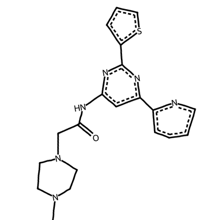 CN1CCN(CC(=O)Nc2cc(-c3ccccn3)nc(-c3cccs3)n2)CC1